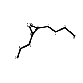 CCCC[C]1OC1CCC